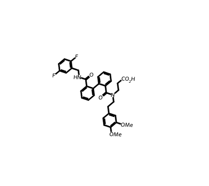 COc1ccc(CCN(CCC(=O)O)C(=O)c2ccccc2-c2ccccc2C(=O)NCc2cc(F)ccc2F)cc1OC